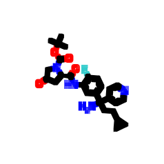 CC(C)(C)OC(=O)N1CC(=O)C[C@@H]1C(=O)Nc1cc(C(N)(CCC2CC2)c2ccncc2)ccc1F